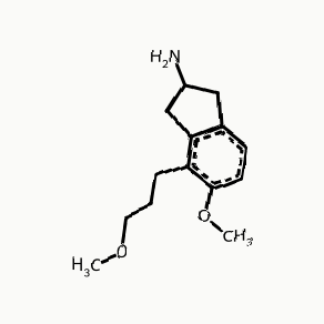 COCCCc1c(OC)ccc2c1CC(N)C2